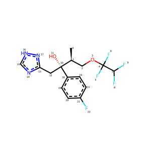 C[C@@H](COC(F)(F)C(F)F)[C@](O)(Cc1nc[nH]n1)c1ccc(F)cc1